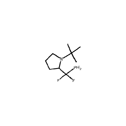 CC(C)(C)N1CCCC1C(F)(F)P